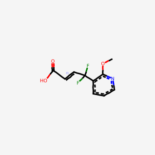 COc1ncccc1C(F)(F)/C=C/C(=O)O